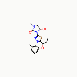 CCC(Oc1cccc(C)c1)c1nnc(N2C(=O)N(C)CC2O)s1